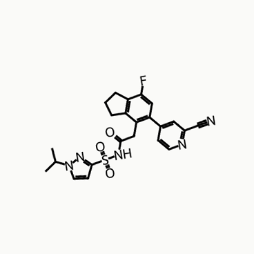 CC(C)n1ccc(S(=O)(=O)NC(=O)Cc2c(-c3ccnc(C#N)c3)cc(F)c3c2CCC3)n1